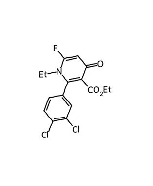 CCOC(=O)c1c(-c2ccc(Cl)c(Cl)c2)n(CC)c(F)cc1=O